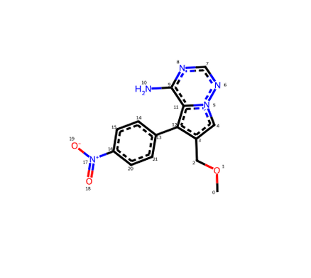 COCc1cn2ncnc(N)c2c1-c1ccc([N+](=O)[O-])cc1